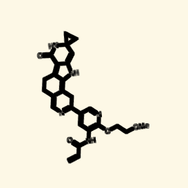 C=CC(=O)Nc1cc(C2=NC=C3CCc4c5c([nH]c4=C3C2)=CC2(CC2)NC5=O)cnc1OCCOC